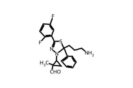 CC1(C=O)CC1N1N=C(c2cc(F)ccc2F)SC1(CCCN)c1ccccc1